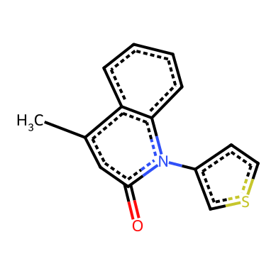 Cc1cc(=O)n(-c2ccsc2)c2ccccc12